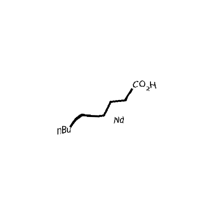 CCCCCCCCC(=O)O.[Nd]